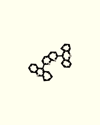 c1ccc2c(-c3ccc4ccc(-c5c6ccccc6nc6ccccc56)nc4n3)c3ccccc3nc2c1